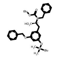 CC(C)(C)OC(=O)N(Cc1ccccc1)[C@@H](Cc1cc(OCc2ccccc2)cc(O[Si](C)(C)C(C)(C)C)c1)C(=O)O